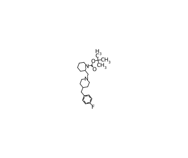 CC(C)(C)OC(=O)N1CCCCC1CN1CCC(Cc2ccc(F)cc2)CC1